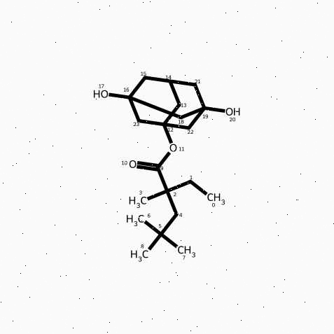 CCC(C)(CC(C)(C)C)C(=O)OC12CC3CC(O)(CC(O)(C3)C1)C2